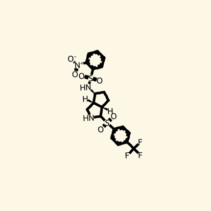 O=[N+]([O-])c1ccccc1S(=O)(=O)N[C@H]1CC[C@@H]2C(S(=O)(=O)c3ccc(C(F)(F)F)cc3)NC[C@H]12